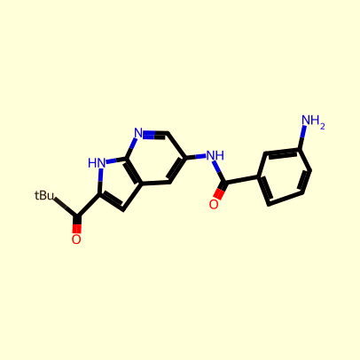 CC(C)(C)C(=O)c1cc2cc(NC(=O)c3cccc(N)c3)cnc2[nH]1